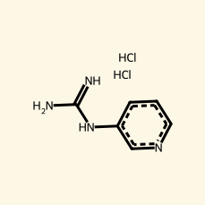 Cl.Cl.N=C(N)Nc1cccnc1